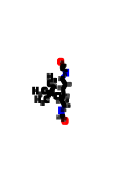 CCC(C)(C)C.O=C=NCCCCCCN=C=O